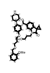 COCCCN1C(=O)C2(CC2)c2ccc(CO[C@H]3CNCC[C@@H]3c3ccc(OCCCOCc4ccccc4OC)cc3)cc21